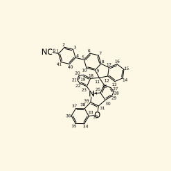 N#Cc1ccc(-c2ccc3c(c2)C2(c4ccccc4-3)c3ccccc3-n3c4c2cccc4c2oc4ccccc4c23)cc1